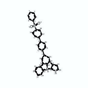 O=S(=O)(c1ccccc1)c1ccc(-c2ccc(-c3cc4c5ccccc5n5c6sccc6c(c3)c45)cc2)cc1